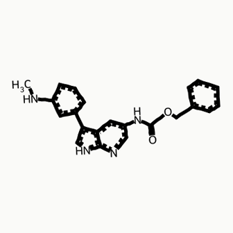 CNc1cccc(-c2c[nH]c3ncc(NC(=O)OCc4ccccc4)cc23)c1